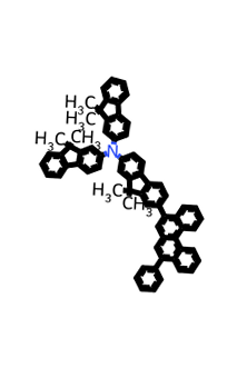 CC1(C)c2ccccc2-c2ccc(N(c3ccc4c(c3)C(C)(C)c3ccccc3-4)c3ccc4c(c3)C(C)(C)c3cc(-c5cc6cc(-c7ccccc7)c7ccccc7c6c6ccccc56)ccc3-4)cc21